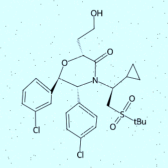 CC(C)(C)S(=O)(=O)C[C@H](C1CC1)N1C(=O)[C@@H](CCO)O[C@H](c2cccc(Cl)c2)[C@H]1c1ccc(Cl)cc1